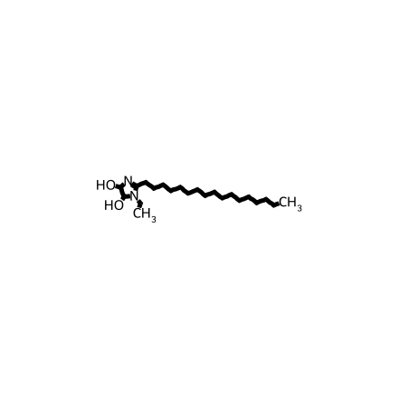 CCCCCCCCCCCCCCCCCC1=NC(O)C(O)N1CC